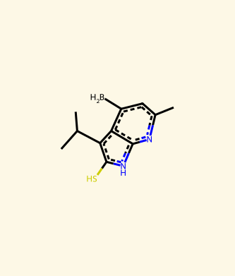 Bc1cc(C)nc2[nH]c(S)c(C(C)C)c12